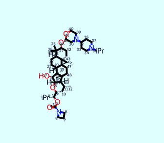 CC(C)[C@@H](OC(=O)N1CCC1)[C@H]1C[C@@H](C)[C@H]2[C@H](O1)[C@H](O)[C@@]1(C)[C@@H]3CC[C@H]4C(C)(C)[C@@H](O[C@H]5CN(C6CCN(C(C)C)CC6)CCO5)CC[C@@]45C[C@@]35CC[C@]21C